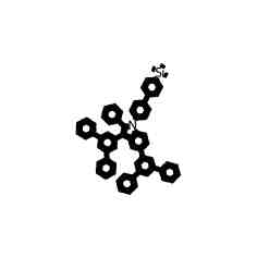 C[Si](C)(C)c1ccc(-c2ccc(-n3c(-c4ccccc4)c(-c4cc(-c5ccccc5)cc(-c5ccccc5)c4)c4cc(-c5cc(-c6ccccc6)cc(-c6ccccc6)c5)ccc43)cc2)cc1